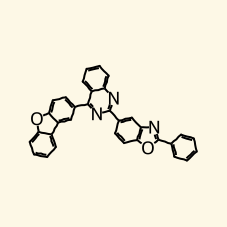 c1ccc(-c2nc3cc(-c4nc(-c5ccc6oc7ccccc7c6c5)c5ccccc5n4)ccc3o2)cc1